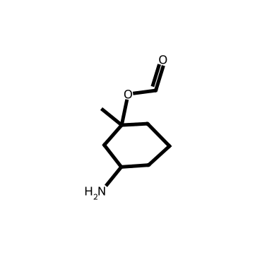 CC1(OC=O)CCCC(N)C1